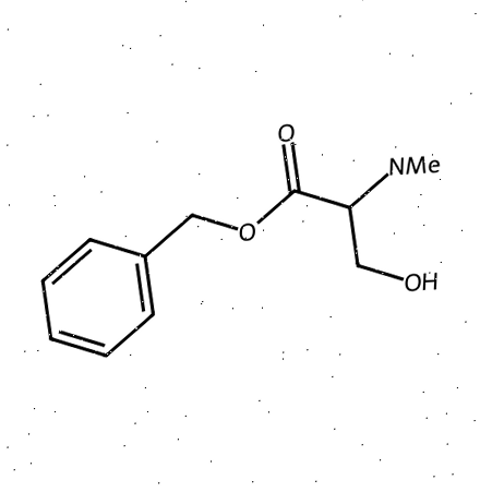 CNC(CO)C(=O)OCc1ccccc1